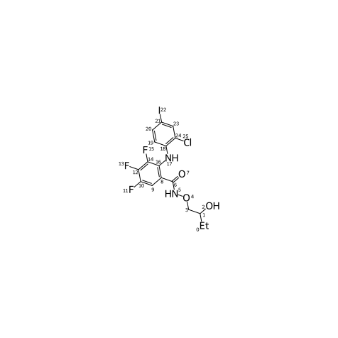 CCC(O)CONC(=O)c1cc(F)c(F)c(F)c1Nc1ccc(I)cc1Cl